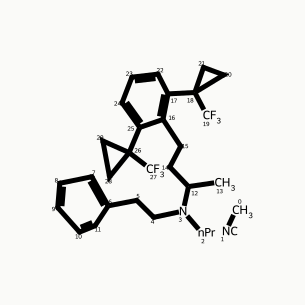 CC#N.CCCN(CCc1ccccc1)C(C)CCc1c(C2(C(F)(F)F)CC2)cccc1C1(C(F)(F)F)CC1